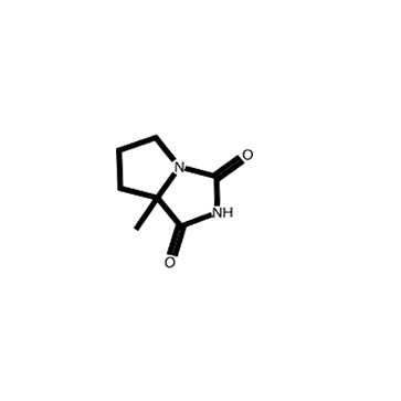 CC12CCCN1C(=O)NC2=O